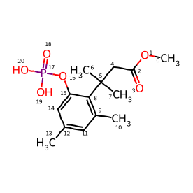 COC(=O)CC(C)(C)c1c(C)cc(C)cc1OP(=O)(O)O